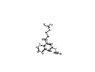 CNCc1nc(NCCCN(C)C)c2ccccc2n1